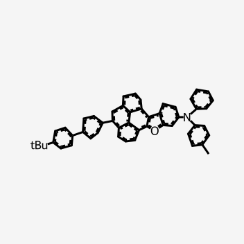 Cc1ccc(N(c2ccccc2)c2ccc3c(c2)oc2c4cccc5c(-c6ccc(-c7ccc(C(C)(C)C)cc7)cc6)cc6cccc(c32)c6c54)cc1